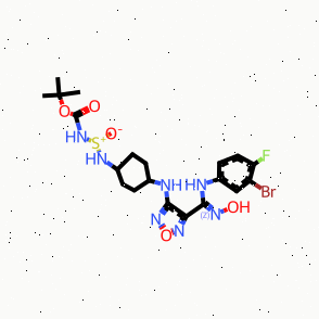 CC(C)(C)OC(=O)N[S+]([O-])NC1CCC(Nc2nonc2/C(=N/O)Nc2ccc(F)c(Br)c2)CC1